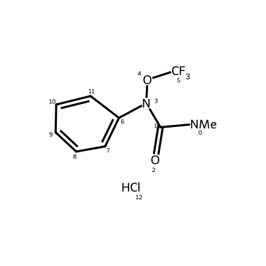 CNC(=O)N(OC(F)(F)F)c1ccccc1.Cl